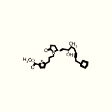 COC(=O)c1ccc(CCCN2C(=O)CC[C@@H]2/C=C/[C@@H](O)[C@@H](C)CC#CCc2ccccc2)s1